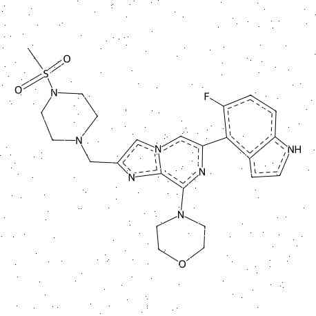 CS(=O)(=O)N1CCN(Cc2cn3cc(-c4c(F)ccc5[nH]ccc45)nc(N4CCOCC4)c3n2)CC1